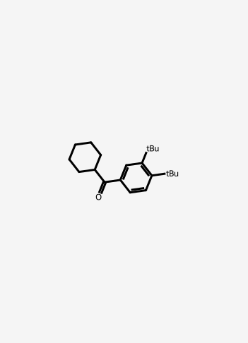 CC(C)(C)c1ccc(C(=O)C2CCCCC2)cc1C(C)(C)C